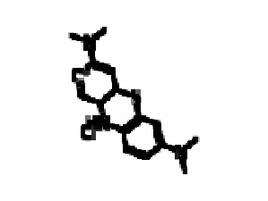 CN(C)C1=CC2Sc3cc(N(C)C)ccc3NC2C=[C+]1.[Cl-]